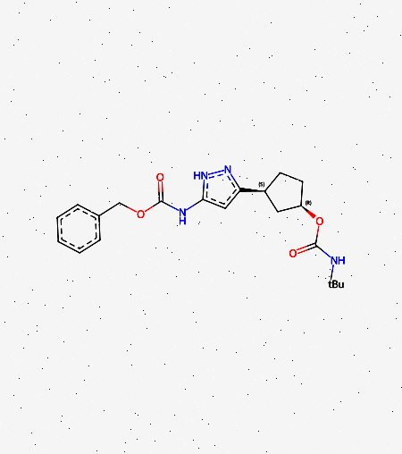 CC(C)(C)NC(=O)O[C@@H]1CC[C@H](c2cc(NC(=O)OCc3ccccc3)[nH]n2)C1